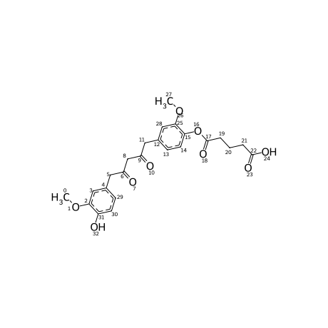 COc1cc(CC(=O)CC(=O)Cc2ccc(OC(=O)CCCC(=O)O)c(OC)c2)ccc1O